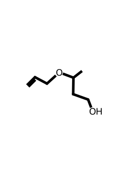 C=CCOC(C)CCO